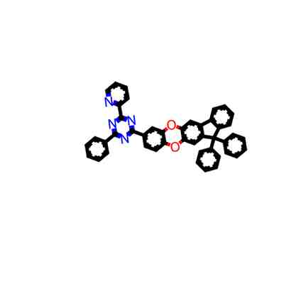 c1ccc(-c2nc(-c3ccc4c(c3)Oc3cc5c(cc3O4)C(c3ccccc3)(c3ccccc3)c3ccccc3-5)nc(-c3ccccn3)n2)cc1